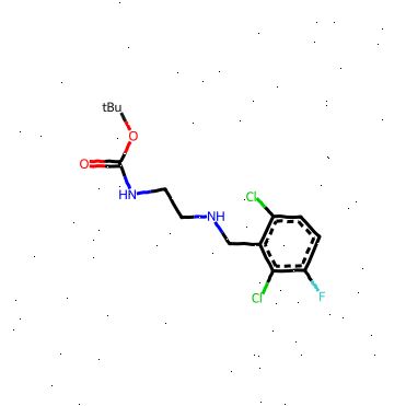 CC(C)(C)OC(=O)NCCNCc1c(Cl)ccc(F)c1Cl